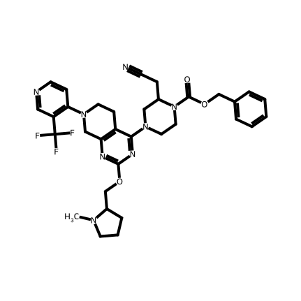 CN1CCCC1COc1nc2c(c(N3CCN(C(=O)OCc4ccccc4)C(CC#N)C3)n1)CCN(c1ccncc1C(F)(F)F)C2